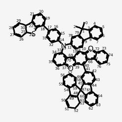 CC1(C)c2ccccc2-c2ccc(N(c3ccc(-c4cccc5c4SC4C=CC=CC54)cc3)c3cccc4oc5c(-c6ccc7c(c6)C6(C8=C(C=CCC8)c8ccccc86)c6ccccc6-7)c6c(cc5c34)oc3ccccc36)cc21